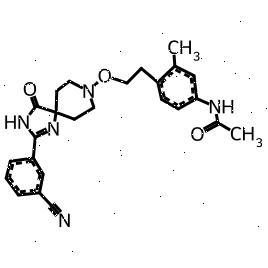 CC(=O)Nc1ccc(CCON2CCC3(CC2)N=C(c2cccc(C#N)c2)NC3=O)c(C)c1